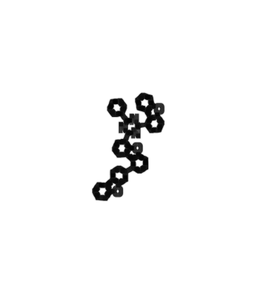 c1ccc(-c2nc(-c3cccc4c3oc3cccc(-c5ccc6c(c5)oc5ccccc56)c34)nc(-c3cccc4oc5ccccc5c34)n2)cc1